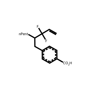 C=CC(F)(F)C(CCCCC)Cc1ccc(C(=O)O)cc1